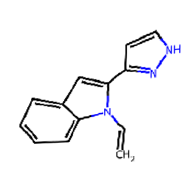 C=Cn1c(-c2cc[nH]n2)cc2ccccc21